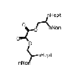 CCCCCCCCCC(CCCCCCC)COC(=O)C(=O)OCC(CCCCCCC)CCCCCCCCC